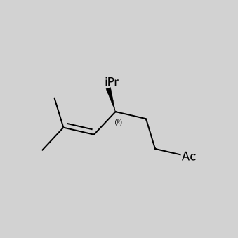 CC(=O)CC[C@@H](C=C(C)C)C(C)C